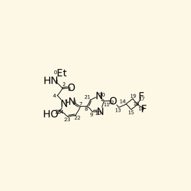 CCNC(=O)CN1N=C(c2cnc(OCC3CC(F)(F)C3)nc2)C=CC1O